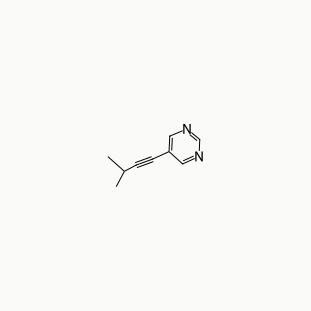 CC(C)C#Cc1cncnc1